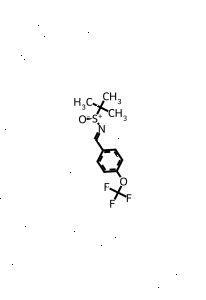 CC(C)(C)[S@+]([O-])N=Cc1ccc(OC(F)(F)F)cc1